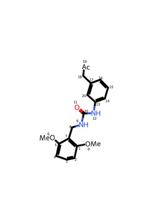 COc1cccc(OC)c1CNC(=O)Nc1cccc(CC(C)=O)c1